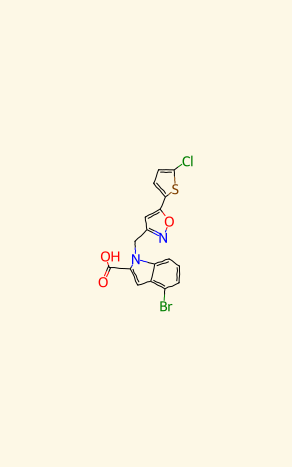 O=C(O)c1cc2c(Br)cccc2n1Cc1cc(-c2ccc(Cl)s2)on1